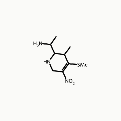 CSC1=C([N+](=O)[O-])CNC(C(C)N)C1C